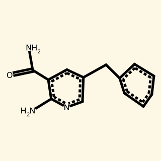 NC(=O)c1cc(Cc2ccccc2)cnc1N